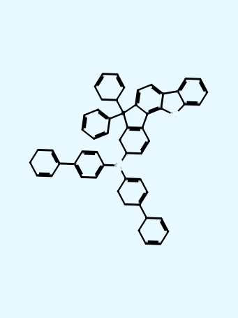 C1=CCC(C2=CC=C(N(c3ccc(C4=CCCC=C4)cc3)C3C=CC4=C(C3)C(c3ccccc3)(C3C=CC=CC3)c3ccc5c(sc6ccccc65)c34)CC2)C=C1